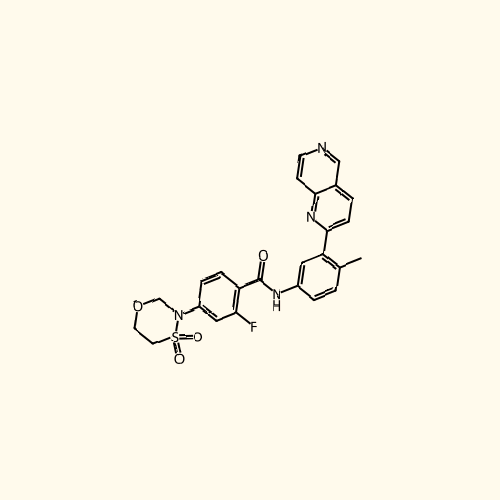 Cc1ccc(NC(=O)c2ccc(N3COCCS3(=O)=O)cc2F)cc1-c1ccc2cnccc2n1